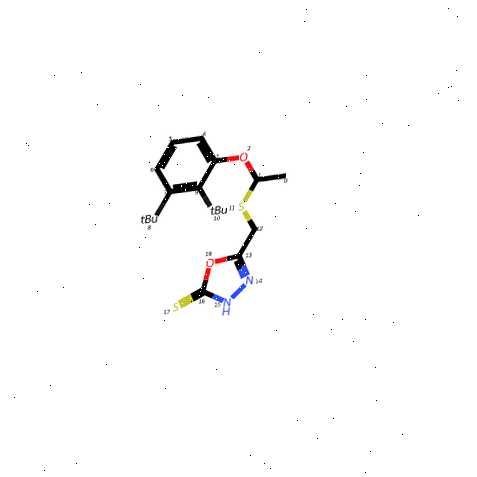 CC(Oc1cccc(C(C)(C)C)c1C(C)(C)C)SCc1n[nH]c(=S)o1